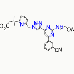 COCCNc1nc(-c2cccc(C#N)c2)cc(-c2cn(Cc3cccc(C(C)(C)CC(=O)O)n3)nn2)n1